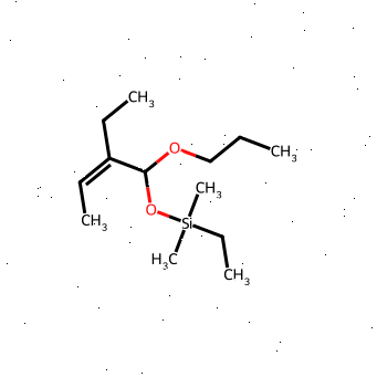 CC=C(CC)C(OCCC)O[Si](C)(C)CC